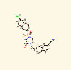 N#Cc1ccc2ccc(CN3CCN(S(=O)(=O)c4ccc5cc(Cl)ccc5c4)CC3=O)cc2c1